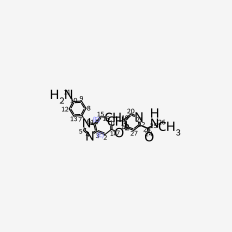 C=C(/C=c1/ncn(-c2ccc(N)cc2)/c1=C/C)Oc1ccnc(C(=O)NC)c1